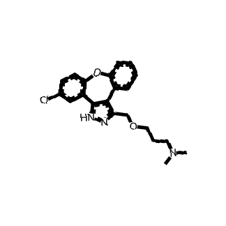 CN(C)CCCOCc1n[nH]c2c1-c1ccccc1Oc1ccc(Cl)cc1-2